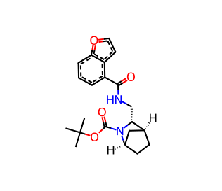 CC(C)(C)OC(=O)N1[C@@H]2CC[C@@H](C2)[C@H]1CNC(=O)c1cccc2occc12